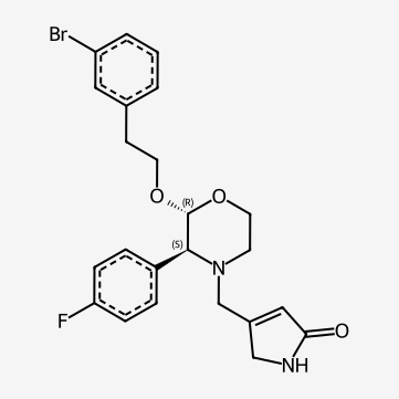 O=C1C=C(CN2CCO[C@@H](OCCc3cccc(Br)c3)[C@@H]2c2ccc(F)cc2)CN1